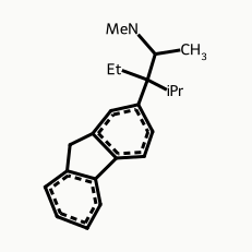 CCC(c1ccc2c(c1)Cc1ccccc1-2)(C(C)C)C(C)NC